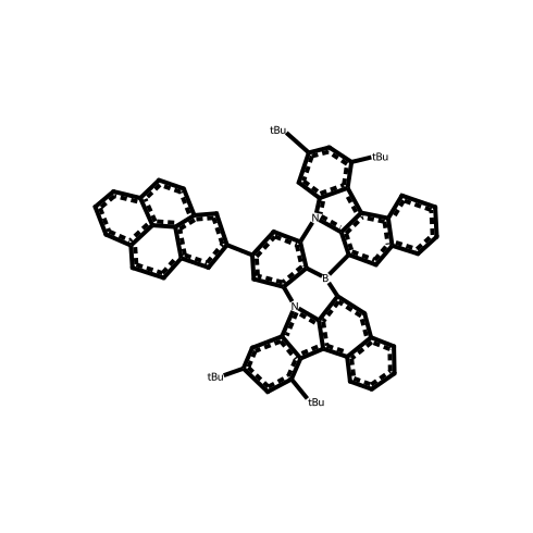 CC(C)(C)c1cc(C(C)(C)C)c2c3c4ccccc4cc4c3n(c2c1)-c1cc(-c2cc3ccc5cccc6ccc(c2)c3c56)cc2c1B4c1cc3ccccc3c3c4c(C(C)(C)C)cc(C(C)(C)C)cc4n-2c13